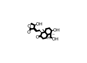 C[C@]1(CO)[C@@H]2CCC(=O)[C@@H](C/C=C3/C(=O)OC[C@H]3O)[C@]2(C)CC[C@H]1O